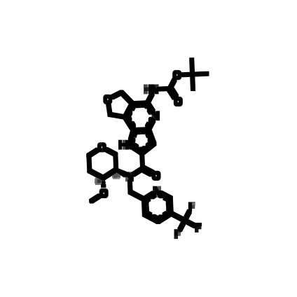 CO[C@@H]1CCOC[C@H]1N(Cc1ccc(C(F)(F)F)cn1)C(=O)c1cc2nc(NC(=O)OC(C)(C)C)c3c(c2[nH]1)COC3